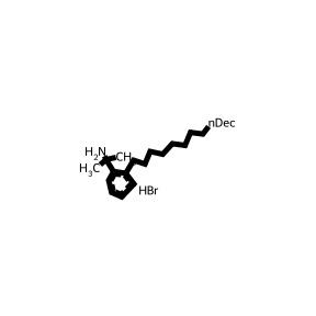 Br.CCCCCCCCCCCCCCCCCCc1ccccc1C(C)(C)N